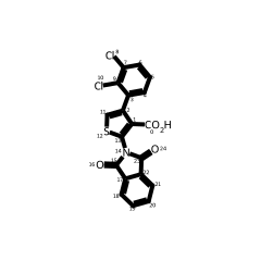 O=C(O)c1c(-c2cccc(Cl)c2Cl)csc1N1C(=O)c2ccccc2C1=O